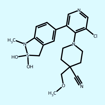 COCC1(C#N)CCN(c2c(Cl)cncc2-c2ccc3c(c2)CS(O)(O)N3C)CC1